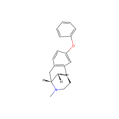 CN1CC[C@]23CCCC[C@H]2[C@H]1Cc1ccc(Oc2ccccc2)cc13